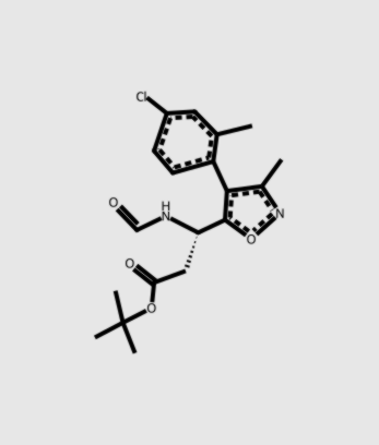 Cc1cc(Cl)ccc1-c1c(C)noc1[C@H](CC(=O)OC(C)(C)C)NC=O